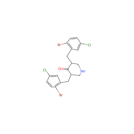 O=C1C(Cc2cc(Cl)ccc2Br)CNCC1Cc1cc(Cl)ccc1Br